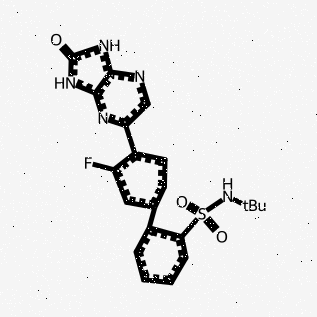 CC(C)(C)NS(=O)(=O)c1ccccc1-c1ccc(-c2cnc3[nH]c(=O)[nH]c3n2)c(F)c1